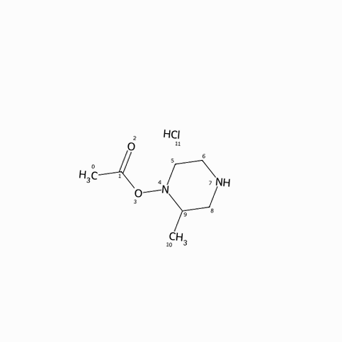 CC(=O)ON1CCNCC1C.Cl